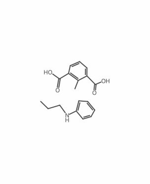 CCCNc1ccccc1.Cc1c(C(=O)O)cccc1C(=O)O